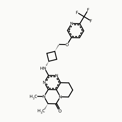 C[C@H]1C(=O)N2CCCc3nc(N[C@H]4C[C@@H](COc5ccc(C(F)(F)F)nc5)C4)nc(c32)N1C